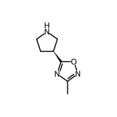 Cc1noc([C@H]2CCNC2)n1